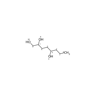 CCCC(O)CC[C](O)CO